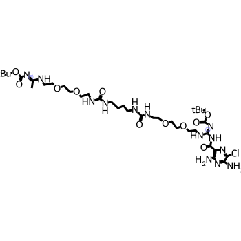 C/C(=N\C(=O)OC(C)(C)C)NCCOCCOCCNC(=O)NCCCCNC(=O)NCCOCCOCCN/C(=N\C(=O)OC(C)(C)C)NC(=O)c1nc(Cl)c(N)nc1N